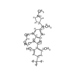 Cc1cc(C(F)(F)F)cc(O)c1-c1nc2nc(N(C)C3CCN(C)C3)cnc2n1C.O=CO